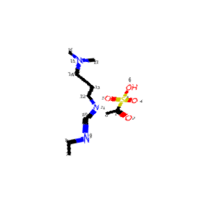 CC(=O)S(=O)(=O)O.CCN=C=NCCCN(C)C